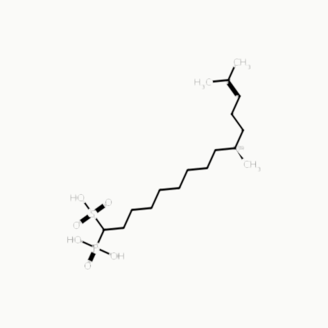 CC(C)=CCC[C@@H](C)CCCCCCCCC(P(=O)(O)O)S(=O)(=O)O